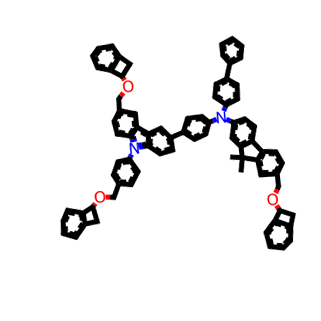 CC1(C)c2cc(COC3Cc4ccccc43)ccc2-c2ccc(N(c3ccc(-c4ccccc4)cc3)c3ccc(-c4ccc5c(c4)c4cc(COC6Cc7ccccc76)ccc4n5-c4ccc(COC5Cc6ccccc65)cc4)cc3)cc21